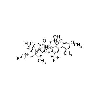 COc1cc(C)c(-c2cc([C@H](CC(=O)O)NC(=O)[C@H](CC(C)C)n3nc(CCN4CC(F)C4)c(C)cc3=O)c(F)c(C(F)(F)F)c2)c(C)c1